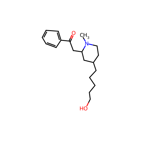 CN1CCC(CCCCCO)CC1CC(=O)c1ccccc1